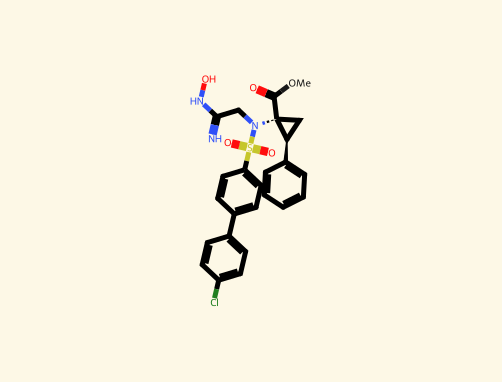 COC(=O)[C@@]1(N(CC(=N)NO)S(=O)(=O)c2ccc(-c3ccc(Cl)cc3)cc2)C[C@H]1c1ccccc1